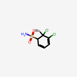 CC(C)(C)C1(Cl)C(Cl)=CC=CC1S(N)(=O)=O